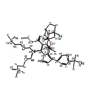 C=C(OCC)c1c(C2CC3CC[C@H](C2)N3C(=O)OC(C)(C)C)nc2c(-c3ccc(C(C)(C)O)nc3)cnn2c1N(COCC[Si](C)(C)C)COCC[Si](C)(C)C